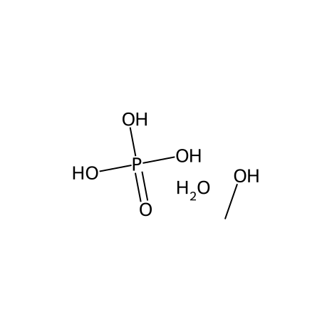 CO.O.O=P(O)(O)O